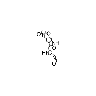 O=C1Nc2ccc(CN3C(=O)CCC3=O)cc2/C1=C/c1cc(CN2CCOCC2)c[nH]1